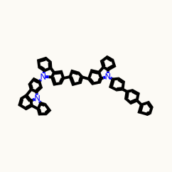 c1ccc(-c2ccc(-c3ccc(-n4c5ccccc5c5cc(-c6ccc(-c7ccc8c(c7)c7ccccc7n8-c7ccc8c9cccc%10c%11ccccc%11n(c8c7)c%109)cc6)ccc54)cc3)cc2)cc1